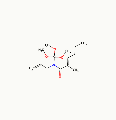 C=CCN(C(=O)C(C)=CCCC)[Si](OC)(OC)OC